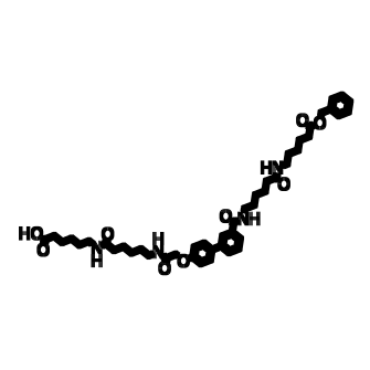 O=C(O)CCCCCNC(=O)CCCCCNC(=O)COc1ccc(-c2cccc(C(=O)NCCCCCC(=O)NCCCCCC(=O)OCc3ccccc3)c2)cc1